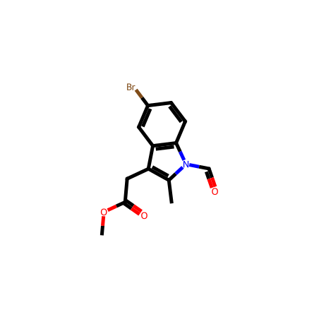 COC(=O)Cc1c(C)n(C=O)c2ccc(Br)cc12